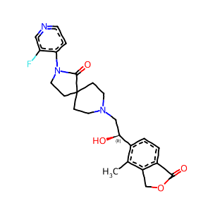 Cc1c([C@@H](O)CN2CCC3(CC2)CCN(c2ccncc2F)C3=O)ccc2c1COC2=O